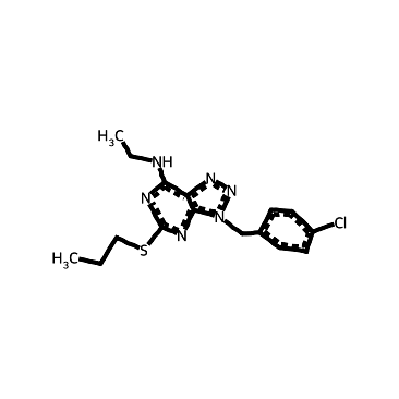 CCCSc1nc(NCC)c2nnn(Cc3ccc(Cl)cc3)c2n1